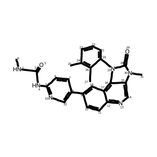 CNC(=O)Nc1ccc(-c2ccc3ncc4c(c3c2)n(-c2cccc(C)c2C)c(=O)n4C)cn1